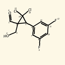 O=CC1(CO)C(c2cc(F)cc(F)c2)C1(Cl)Cl